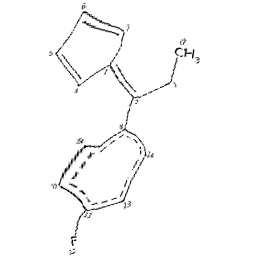 CCC(=C1C=CC=C1)c1ccc(F)cc1